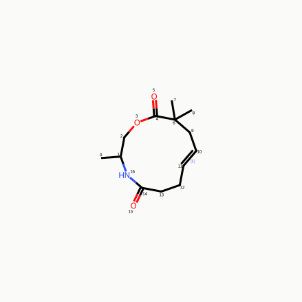 CC1COC(=O)C(C)(C)C/C=C/CCC(=O)N1